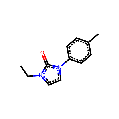 CCn1ccn(-c2ccc(C)cc2)c1=O